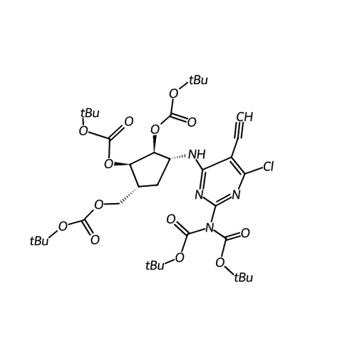 C#Cc1c(Cl)nc(N(C(=O)OC(C)(C)C)C(=O)OC(C)(C)C)nc1N[C@@H]1C[C@H](COC(=O)OC(C)(C)C)[C@@H](OC(=O)OC(C)(C)C)[C@H]1OC(=O)OC(C)(C)C